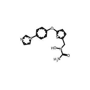 NC(=O)N(O)Cc1ccc(Oc2ccc(-n3ccnc3)cc2)s1